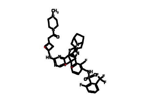 CN1CCN(C(=O)CC23CC(Nc4nccc(-c5sc(N6C7CCC6CN(C6CC(F)(F)C6)C7)nc5-c5cccc(NS(=O)(=O)c6c(F)cccc6C(F)(F)F)c5F)n4)(C2)C3)CC1